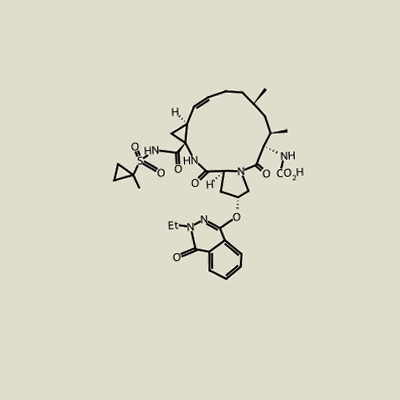 CCn1nc(O[C@@H]2C[C@H]3C(=O)N[C@]4(C(=O)NS(=O)(=O)C5(C)CC5)C[C@H]4/C=C\CC[C@@H](C)C[C@@H](C)[C@H](NC(=O)O)C(=O)N3C2)c2ccccc2c1=O